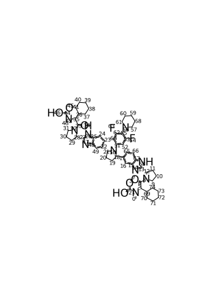 CN(C(=O)O)[C@H](C(=O)N1CCC[C@H]1c1nc2cc([C@H]3CC[C@H](c4ccc5[nH]c([C@@H]6CCCN6C(=O)[C@H](C6CCCCC6)N(C)C(=O)O)nc5c4)N3c3cc(F)c(N4CCCCC4)c(F)c3)ccc2[nH]1)C1CCCCC1